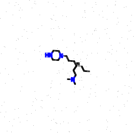 CCC[C@@H](CCCN1CCNCC1)CCN(C)C